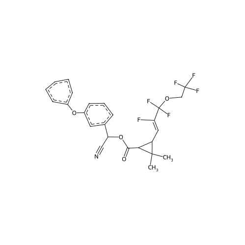 CC1(C)C(C=C(F)C(F)(F)OCC(F)(F)F)C1C(=O)OC(C#N)c1cccc(Oc2ccccc2)c1